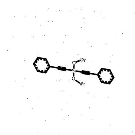 CC(C)O[Si](C#Cc1ccccc1)(C#Cc1ccccc1)OC(C)C